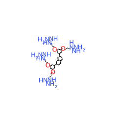 N=C(N)NCCCOc1cc(OCCCNC(=N)N)cc(-c2ccc3ccc(-c4cc(OCCCNC(=N)N)cc(OCCCNC(=N)N)c4)cc3c2)c1